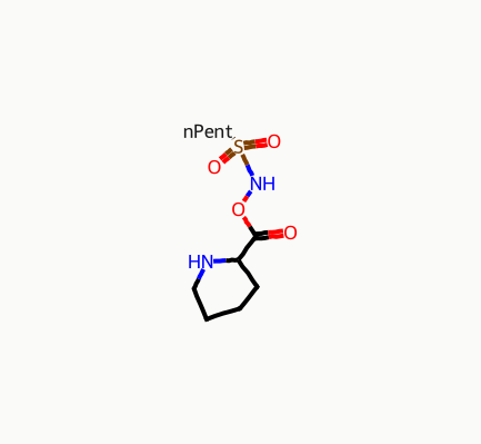 CCCCCS(=O)(=O)NOC(=O)C1CCCCN1